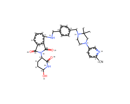 CC1(C)CN(c2ccc(C#N)nc2)CCN1Cc1ccc(CNc2cccc3c2C(=O)N(C2CCC(O)NC2=O)C3=O)cc1